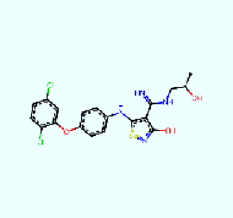 C[C@@H](O)CNC(=N)c1c(O)nsc1Nc1ccc(Oc2cc(Cl)ccc2Cl)cc1